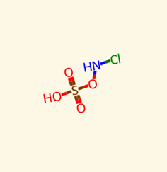 O=S(=O)(O)ONCl